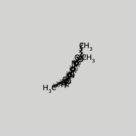 CCCCCC[C@@H](C)OC(=O)c1ccc(-c2ccc(-c3ccc(C(=O)O[C@@H](CCCCCC)C(F)(F)F)cn3)cc2)nc1